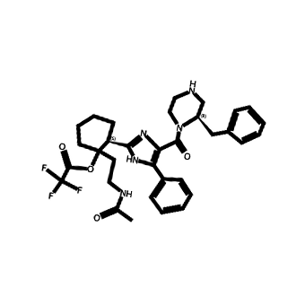 CC(=O)NCCC1(OC(=O)C(F)(F)F)CCCC[C@H]1c1nc(C(=O)N2CCNC[C@H]2Cc2ccccc2)c(-c2ccccc2)[nH]1